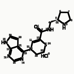 Cl.O=C(NC[C@@H]1CCCN1)C1=CN(c2ncnc3[nH]ccc23)CCS1